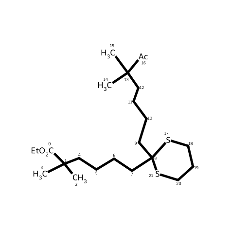 CCOC(=O)C(C)(C)CCCCC1(CCCCC(C)(C)C(C)=O)SCCCS1